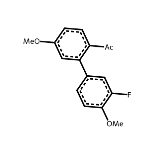 COc1ccc(C(C)=O)c(-c2ccc(OC)c(F)c2)c1